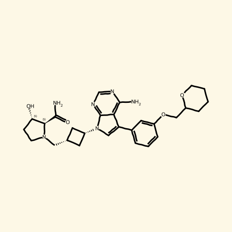 NC(=O)[C@@H]1[C@@H](O)CCN1C[C@H]1C[C@@H](n2cc(-c3cccc(OCC4CCCCO4)c3)c3c(N)ncnc32)C1